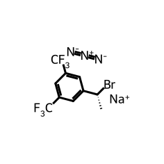 C[C@@H](Br)c1cc(C(F)(F)F)cc(C(F)(F)F)c1.[N-]=[N+]=[N-].[Na+]